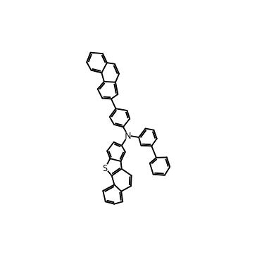 c1ccc(-c2cccc(N(c3ccc(-c4ccc5c(ccc6ccccc65)c4)cc3)c3ccc4sc5c6ccccc6ccc5c4c3)c2)cc1